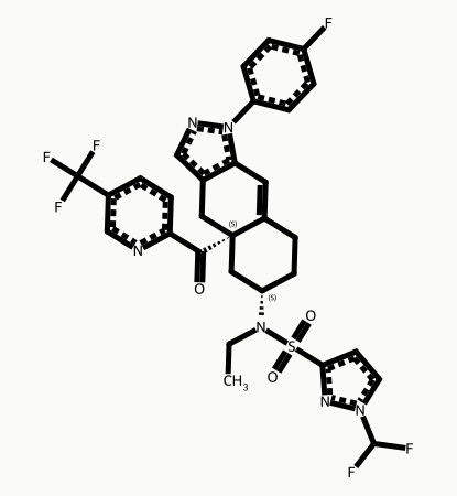 CCN([C@H]1CCC2=Cc3c(cnn3-c3ccc(F)cc3)C[C@]2(C(=O)c2ccc(C(F)(F)F)cn2)C1)S(=O)(=O)c1ccn(C(F)F)n1